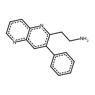 NCCc1nc2cccnc2cc1-c1ccccc1